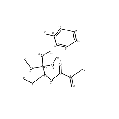 C=C(C)C(=O)OC(CC)[Si](OC)(OC)OC.Cc1ccccc1